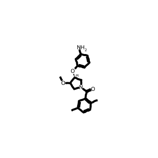 COC1CN(C(=O)c2cc(C)ccc2C)C[C@H]1Oc1cccc(N)c1